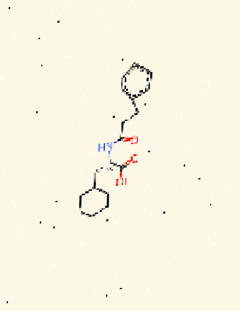 O=C(CCc1ccccc1)N[C@@H](CC1CCCCC1)C(=O)O